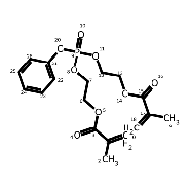 C=C(C)C(=O)OCCOP(=O)(OCCOC(=O)C(=C)C)Oc1ccccc1